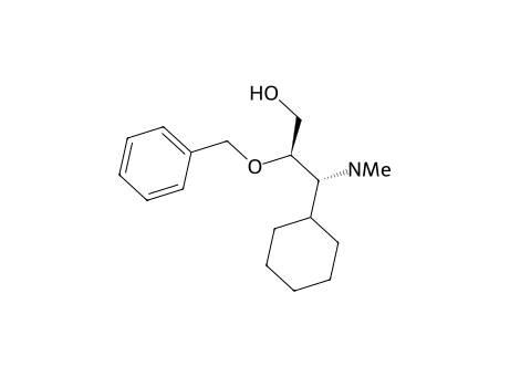 CN[C@H](C1CCCCC1)[C@H](CO)OCc1ccccc1